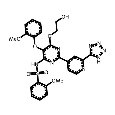 COc1ccccc1Oc1c(NS(=O)(=O)c2ccccc2OC)nc(-c2ccnc(-c3nnn[nH]3)c2)nc1OCCO